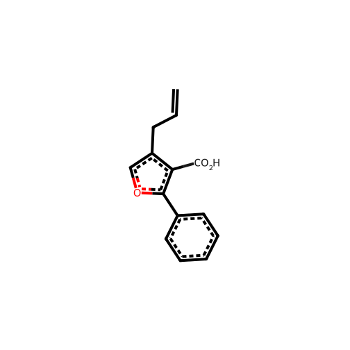 C=CCc1coc(-c2ccccc2)c1C(=O)O